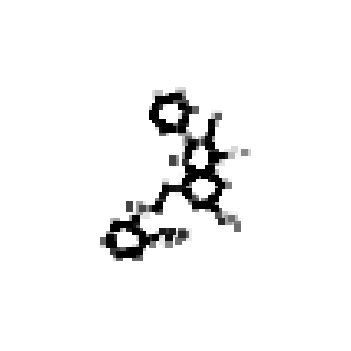 Cc1cc(CCNc2ccccc2C(=O)O)c2oc(-c3ccccc3)c(F)c(=O)c2c1